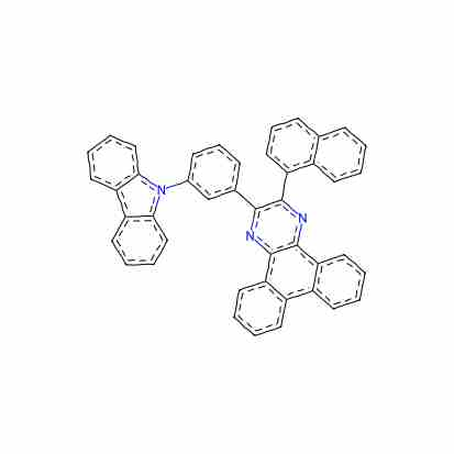 c1cc(-c2nc3c4ccccc4c4ccccc4c3nc2-c2cccc3ccccc23)cc(-n2c3ccccc3c3ccccc32)c1